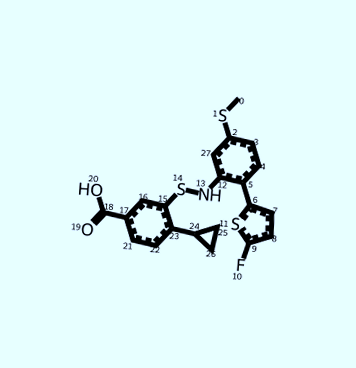 CSc1ccc(-c2ccc(F)s2)c(NSc2cc(C(=O)O)ccc2C2CC2)c1